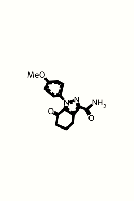 COc1ccc(-n2nc(C(N)=O)c3c2C(=O)CCC3)cc1